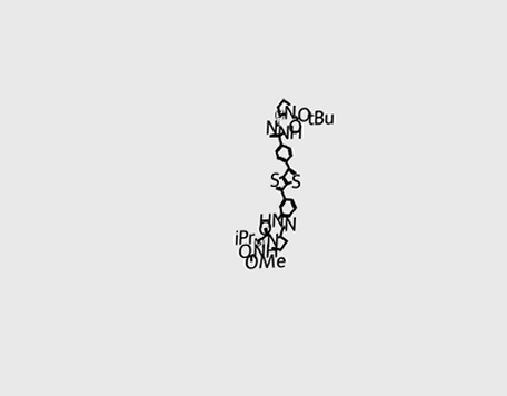 COC(=O)N[C@H](C(=O)N1CCCC1c1nc2ccc(-c3csc4c(-c5ccc(-c6cnc([C@@H]7CCCN7C(=O)OC(C)(C)C)[nH]6)cc5)csc34)cc2[nH]1)C(C)C